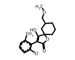 COCC1CCCC2(C1)OC(=O)C(c1c(C)cccc1Cl)=C2O